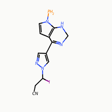 N#CCC(I)n1cc(C2=NCNc3c2ccn3P)cn1